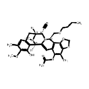 CCCCOC[C@H]1c2c(c(OC(C)=O)c(C)c3c2OCO3)C=C2[C@H]3c4c(cc(C)c(OC)c4O)C[C@H]([C@H](C#N)N21)N3C